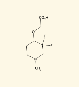 CN1CCC(OCC(=O)O)C(F)(F)C1